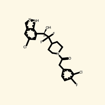 O=C(Cc1ccc(F)c(Cl)c1)N1CCC(C(F)(F)[C@H](O)c2cc(Cl)cc3cn[nH]c23)CC1